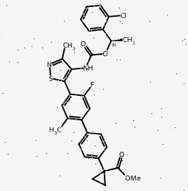 COC(=O)C1(c2ccc(-c3cc(F)c(-c4snc(C)c4NC(=O)O[C@H](C)c4ccccc4Cl)cc3C)cc2)CC1